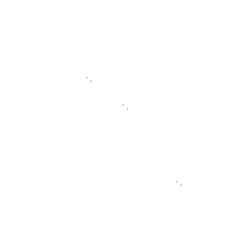 ClCc1nc2ccc(I)cc2n1Cc1cncs1